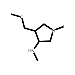 CNC1CN(I)CC1COC